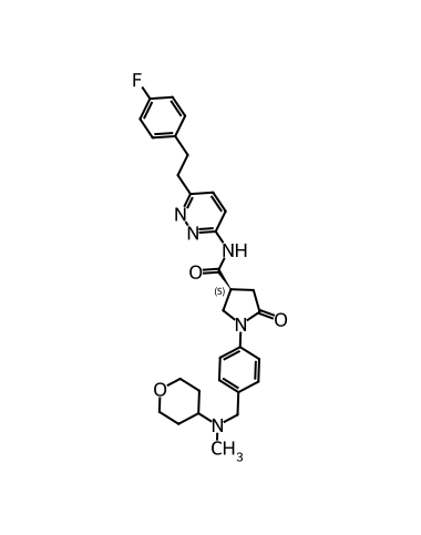 CN(Cc1ccc(N2C[C@@H](C(=O)Nc3ccc(CCc4ccc(F)cc4)nn3)CC2=O)cc1)C1CCOCC1